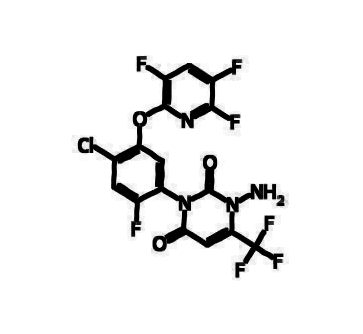 Nn1c(C(F)(F)F)cc(=O)n(-c2cc(Oc3nc(F)c(F)cc3F)c(Cl)cc2F)c1=O